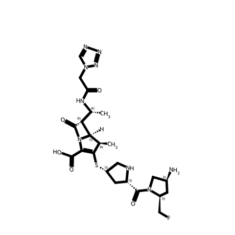 C[C@@H](NC(=O)Cn1cnnn1)[C@H]1C(=O)N2C(C(=O)O)=C(S[C@@H]3CN[C@H](C(=O)N4C[C@@H](N)C[C@H]4CF)C3)[C@H](C)[C@H]12